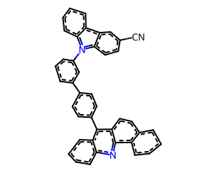 N#Cc1ccc2c(c1)c1ccccc1n2-c1cccc(-c2ccc(-c3c4ccccc4nc4c3ccc3ccccc34)cc2)c1